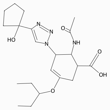 CCC(CC)OC1=CC(n2cc(C3(O)CCCC3)nn2)C(NC(C)=O)C(C(=O)O)C1